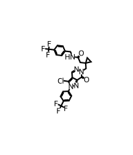 O=C(CC1(Cn2ncc3c(Cl)n(-c4ccc(C(F)(F)F)cc4)nc3c2=O)CC1)NCc1ccc(C(F)(F)F)cc1